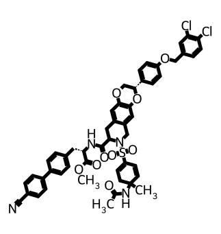 COC(=O)[C@H](Cc1ccc(-c2ccc(C#N)cc2)cc1)NC(=O)C1Cc2cc3c(cc2CN1S(=O)(=O)C1=CCC(C)(NC(C)=O)C=C1)O[C@@H](c1ccc(OCc2ccc(Cl)c(Cl)c2)cc1)CO3